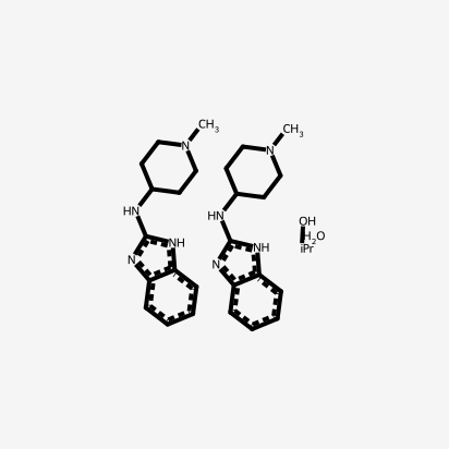 CC(C)O.CN1CCC(Nc2nc3ccccc3[nH]2)CC1.CN1CCC(Nc2nc3ccccc3[nH]2)CC1.O